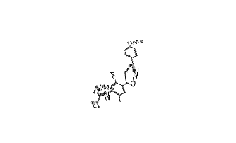 CCC(=Nc1cc(F)c(C2CC(c3ccc(OC)cc3)=NO2)cc1C)NC